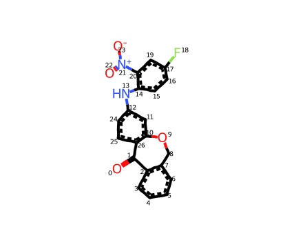 O=C1c2ccccc2COc2cc(Nc3ccc(F)cc3[N+](=O)[O-])ccc21